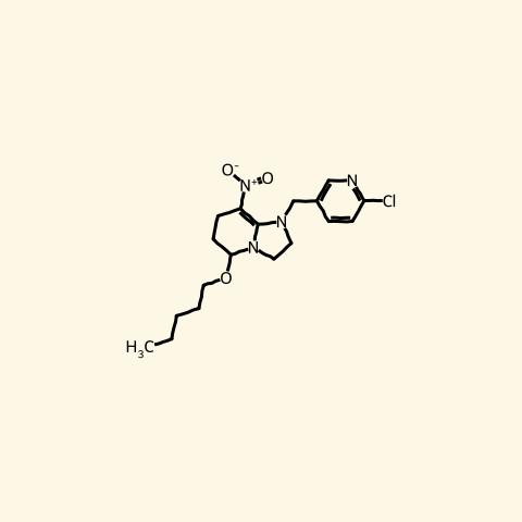 CCCCCOC1CCC([N+](=O)[O-])=C2N(Cc3ccc(Cl)nc3)CCN21